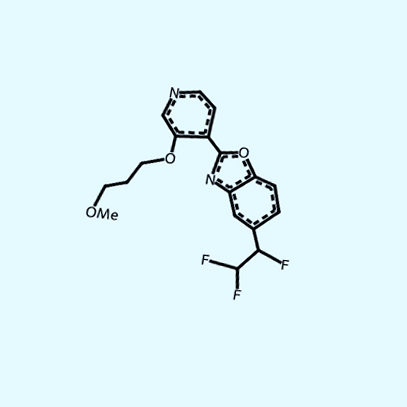 COCCCOc1cnccc1-c1nc2cc(C(F)C(F)F)ccc2o1